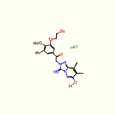 CCOc1nn2c(=N)n(CC(=O)c3cc(OCCO)c(OC)c(C(C)(C)C)c3)nc2c(C)c1C.Cl